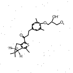 COCC(O)COc1c(C)cc(CCC(=O)c2sc(C)c3c2C[C@@H]2[C@H]3C2(C)C)cc1C